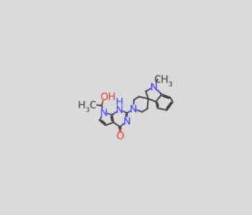 CC(O)n1ccc2c(=O)nc(N3CCC4(CC3)CN(C)c3ccccc34)[nH]c21